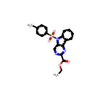 CCOC(=O)c1ncc2c(n1)c1ccccc1n2S(=O)(=O)c1ccc(C)cc1